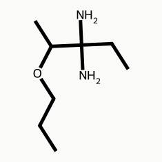 CCCOC(C)C(N)(N)CC